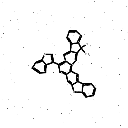 CC1(C)c2ccccc2-c2cc3c(-c4csc5ccccc45)cc4cc5oc6ccccc6c5cc4c3cc21